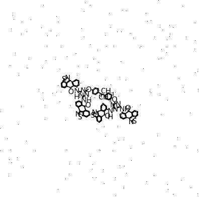 CC(C)(c1ccc(Oc2nc(Nc3cccc4c3C(=O)c3cccc5snc-4c35)nc(Nc3cccc4c3C(=O)c3cccc5snc-4c35)n2)cc1)c1ccc(Oc2nc(Nc3cccc4c3C(=O)c3cccc5snc-4c35)nc(Nc3cccc4c3C(=O)c3cccc5snc-4c35)n2)cc1